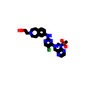 CN(c1nccnc1CNc1nc(Nc2ccc3c(c2)CCN(CCO)CC3)ncc1Cl)S(C)(=O)=O